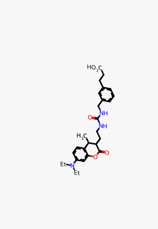 CCN(CC)c1ccc2c(c1)OC(=O)C(CCNC(=O)NCc1cccc(CCC(=O)O)c1)C2C